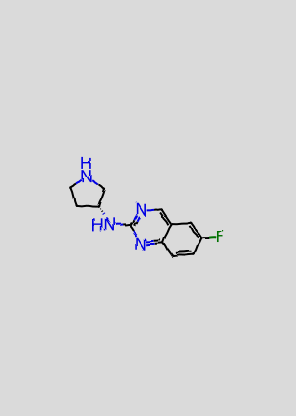 Fc1ccc2nc(N[C@@H]3CCNC3)ncc2c1